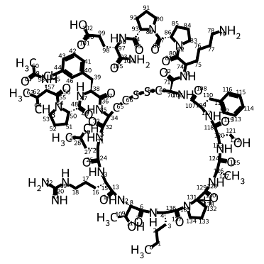 CCCC[C@@H]1NC(=O)[C@H]([C@H](C)O)NC(=O)[C@H](CCCNC(=N)N)NC(=O)[C@H](CC(C)C)NC(=O)C(NC(=O)[C@H](Cc2cccc(Cl)c2)NC(=O)[C@@H]2CCCN2C(=O)[C@@H](NC(C)=O)C(C)C)CCSSC[C@@H](C(=O)NC(CCCCN)C(=O)N2CCC[C@H]2C(=O)N2CCC[C@H]2C(=O)N[C@@H](CCC(=O)O)C(N)=O)NC(=O)[C@H](Cc2ccccc2)NC(=O)[C@H](CO)NC(=O)[C@H](C)NC(=O)[C@@H]2CCCN2C1=O